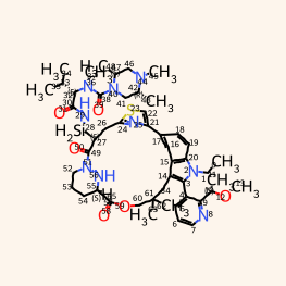 CCn1c(-c2cccnc2[C@H](C)OC)c2c3cc(ccc31)-c1csc(n1)C[C@H]([SiH2]NC(=O)[C@H](C(C)C)N(C)C(=O)N1C[C@@H](C)N(C)C[C@@H]1C)C(=O)N1CCC[C@H](N1)C(=O)OCC(C)(C)C2